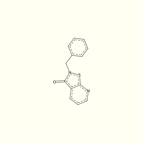 O=c1c2cccnc2sn1Cc1ccccc1